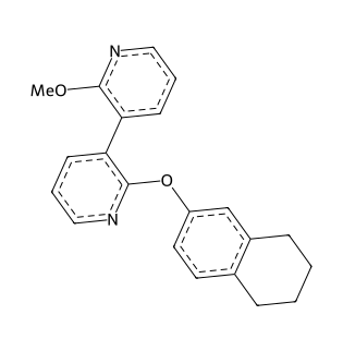 COc1ncccc1-c1cccnc1Oc1ccc2c(c1)CCCC2